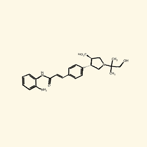 CC(C)(CO)N1C[C@H](C(=O)O)[C@@H](c2ccc(/C=C/C(=O)Nc3ccccc3N)cc2)C1